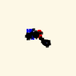 CNc1c2c(nc3cc(OCCCN4C5CCCC4CC5)c(OC)cc13)CCC2